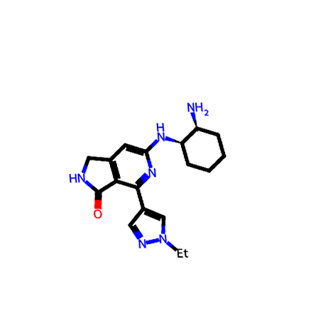 CCn1cc(-c2nc(N[C@@H]3CCCC[C@@H]3N)cc3c2C(=O)NC3)cn1